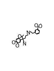 COC(=O)c1cccc(CCN(C)CCCC(C#N)(C(C)=O)c2ccc(OC)c(OC)c2)c1